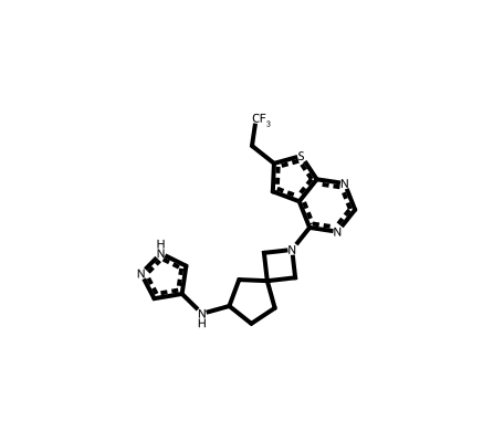 FC(F)(F)Cc1cc2c(N3CC4(CCC(Nc5cn[nH]c5)C4)C3)ncnc2s1